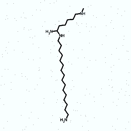 CNCCCCCC(N)NCCCCCCCCCCCCCCCCN